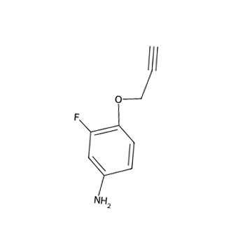 C#CCOc1ccc(N)cc1F